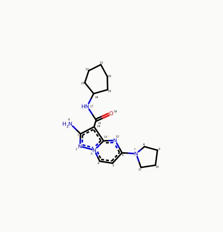 Nc1nn2ccc(N3CCCC3)nc2c1C(=O)NC1CCCCC1